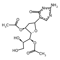 CC(=O)O[C@H]([C@H]1OC(n2cnc(N)nc2=O)C[C@@H]1OC(C)=O)[C@H](O)CO